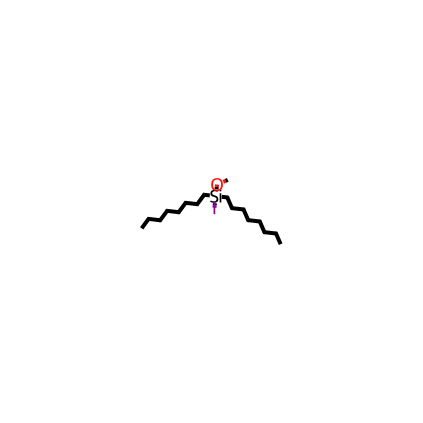 CCCCCCCC[Si](I)(CCCCCCCC)OC